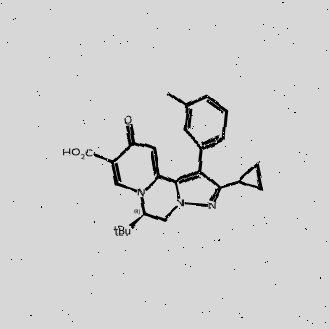 Cc1cccc(-c2c(C3CC3)nn3c2-c2cc(=O)c(C(=O)O)cn2[C@H](C(C)(C)C)C3)c1